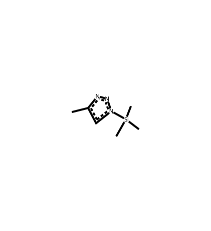 Cc1cn([Si](C)(C)C)nn1